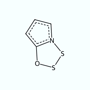 c1cc2n(c1)SSO2